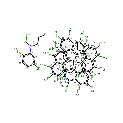 CCC[NH+](CF)c1cc(F)ccc1F.CCc1c(F)c(F)c(F)c2c(F)c(F)c(F)c([B-](c3c(F)c(F)c(F)c4c(F)c(F)c(F)c(CC)c34)(c3c(F)c(F)c(F)c4c(F)c(F)c(F)c(CC)c34)c3c(F)c(F)c(F)c4c(F)c(F)c(F)c(CC)c34)c12